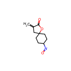 C=C1CC2(CCC(N=O)CC2)OC1=O